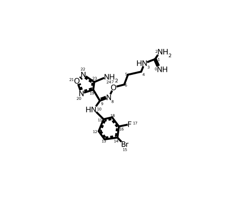 N=C(N)NCCCON=C(Nc1ccc(Br)c(F)c1)c1nonc1N